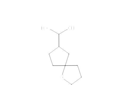 CC(C)C1CCC2(CCCO2)C1